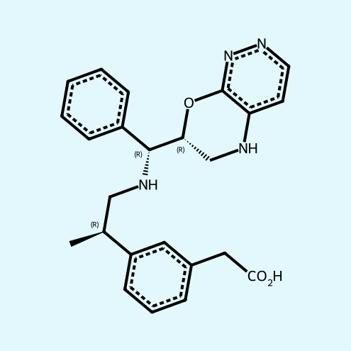 C[C@@H](CN[C@H](c1ccccc1)[C@H]1CNc2ccnnc2O1)c1cccc(CC(=O)O)c1